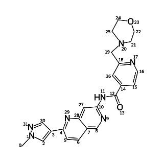 Cn1cc(-c2ccc3cnc(NC(=O)c4ccnc(CN5CCOCC5)c4)cc3n2)cn1